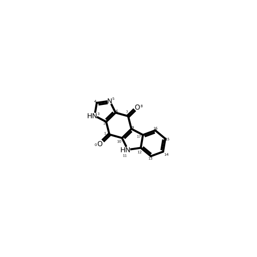 O=C1c2[nH]cnc2C(=O)c2c1[nH]c1ccccc21